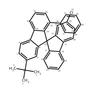 CC(C)(C)c1ccc2c(c1)C1(c3ccccc3-c3ccc(Cl)cc31)c1c(-c3ccccc3)cccc1-2